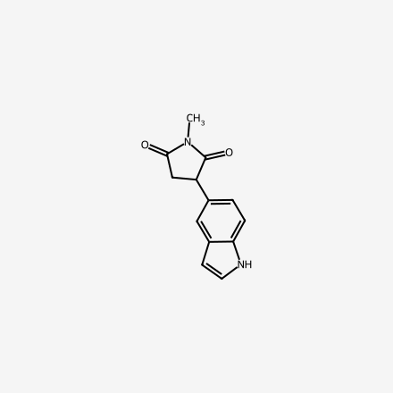 CN1C(=O)CC(c2ccc3[nH]ccc3c2)C1=O